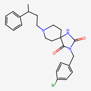 CC(CCN1CCC2(CC1)NC(=O)N(Cc1ccc(Br)cc1)C2=O)c1ccccc1